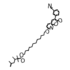 CC(C)CC(C)C(C)(C)C(=O)OCCCCCCCCCCCCOc1ccc2cc(-c3cccc(C#N)c3)c(=O)oc2n1